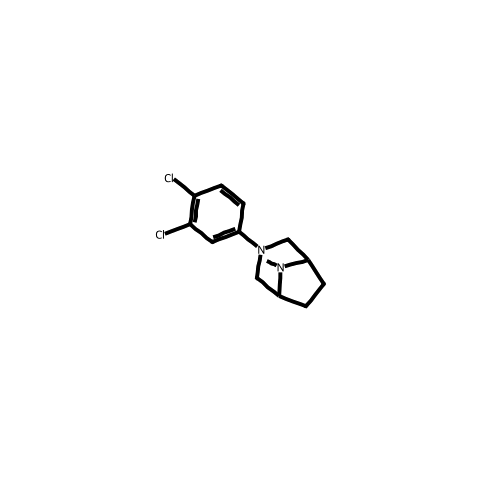 CN1C2CCC1CN(c1ccc(Cl)c(Cl)c1)C2